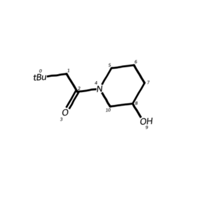 CC(C)(C)CC(=O)N1CCCC(O)C1